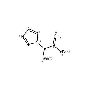 C=C(CCCCC)C(CCCCC)n1ccnn1